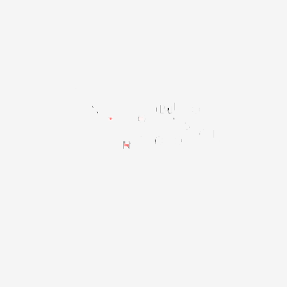 CC(C)(C)OC(=O)N(CCN1C2CCC1CC(c1cccc(NS(C)(=O)=O)c1)C2)CC1CCCCC1